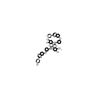 O=C(Nc1cccc(Oc2ccc3ncc(N4CCOCC4)nc3c2)c1)N(c1ccc(Cl)c(F)c1)N(C(=O)Nc1cccc(Oc2ccc3ncc(N4CCNCC4)nc3c2)c1)c1ccc(Cl)c(C(F)(F)F)c1